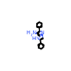 Nc1c(-c2ccccc2)nn2cc(-c3ccccc3)[nH]c12